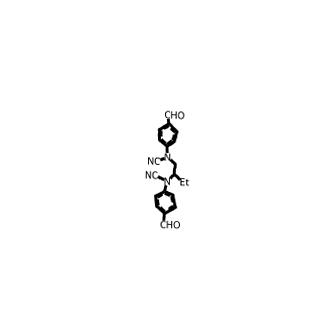 CCC(CN(C#N)c1ccc(C=O)cc1)N(C#N)c1ccc(C=O)cc1